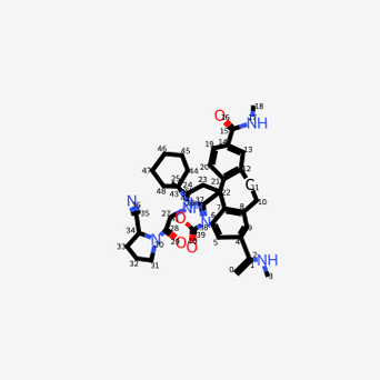 C=C(NC)c1ccc2c(c1)CCc1cc(C(=O)NC)ccc1C2(C[C@H](C)NCC(=O)N1CCCC1C#N)c1nc(=O)on1C1CCCCC1